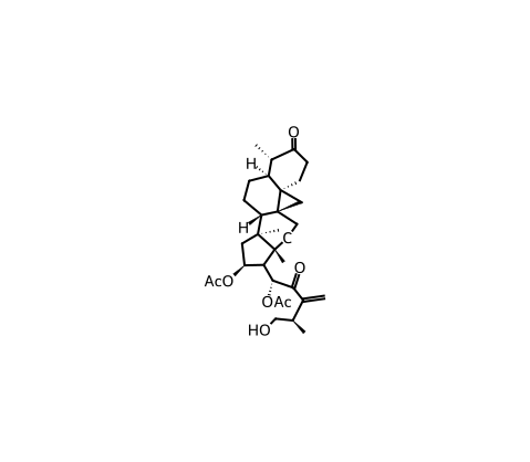 C=C(C(=O)[C@H](OC(C)=O)C1[C@@H](OC(C)=O)C[C@@]2(C)[C@@H]3CC[C@H]4[C@H](C)C(=O)CC[C@@]45C[C@@]35CC[C@]12C)[C@@H](C)CO